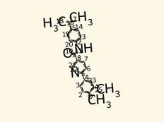 Cc1ccc(-c2ccc(C(=O)Nc3ccc(C(C)C)cc3)cn2)cc1C